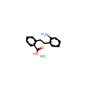 Cl.Nc1ccccc1CCc1ccccc1C(=O)O